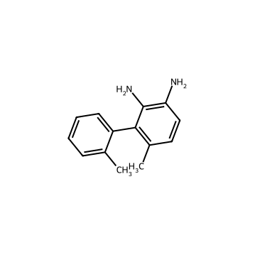 Cc1ccccc1-c1c(C)ccc(N)c1N